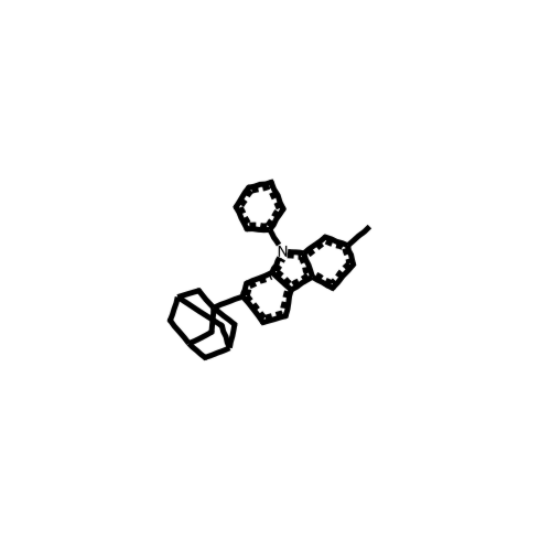 Cc1ccc2c3ccc(C45CC6CC(CC(C6)C4)C5)cc3n(-c3ccccc3)c2c1